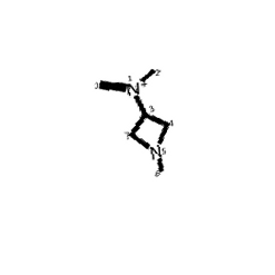 C=[N+](C)C1CN(C)C1